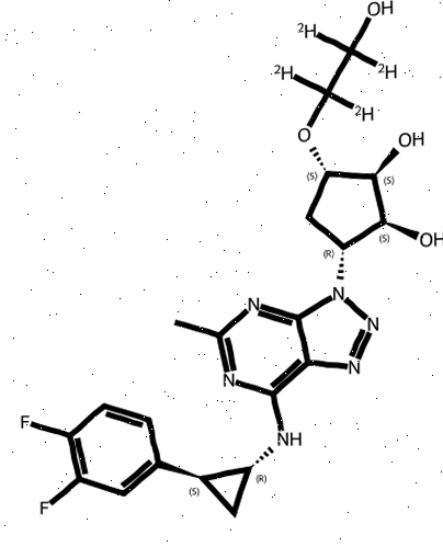 [2H]C([2H])(O)C([2H])([2H])O[C@H]1C[C@@H](n2nnc3c(N[C@@H]4C[C@H]4c4ccc(F)c(F)c4)nc(C)nc32)[C@H](O)[C@@H]1O